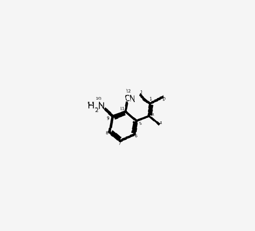 CC(C)=C(C)c1cccc(N)c1C#N